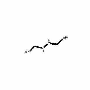 CCCCPPCCCC